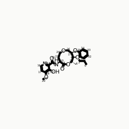 CCCO[C@H]1[C@H](C)OC(=O)[C@@H](NC(=O)c2nccc(OC)c2O)CCOC[C@@H]1Oc1ccccc1